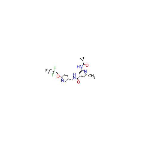 Cc1cc(C(=O)NCc2ccc(OCC(F)(F)C(F)(F)F)nc2)cc(NC(=O)C2CC2)n1